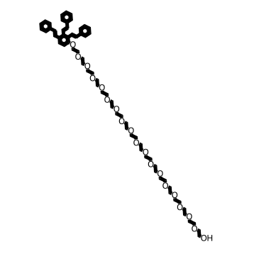 OCCOCCOCCOCCOCCOCCOCCOCCOCCOCCOCCOCCOCCOCCOCCOCCOCCOCCOc1ccc(C=Cc2ccccc2)c(C=Cc2ccccc2)c1C=Cc1ccccc1